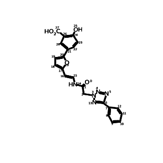 O=C(Cn1nnc(-c2ccccc2)n1)NC=Cc1ccc(-c2ccc(O)c(C(=O)O)c2)o1